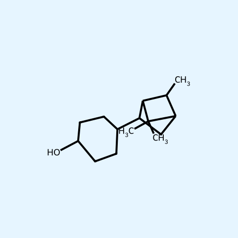 CC1C2CC(C3CCC(O)CC3)C1C2(C)C